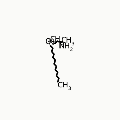 CCCCCCCCCCCCCC[N+](C)([O-])CCC(C)N